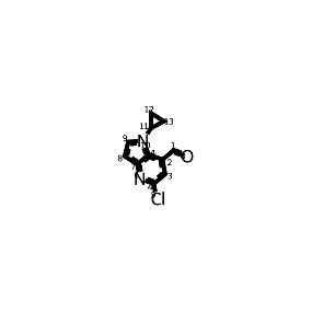 O=Cc1cc(Cl)nc2ccn(C3CC3)c12